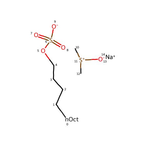 CCCCCCCCCCCCOS(=O)(=O)[O-].C[S+](C)[O-].[Na+]